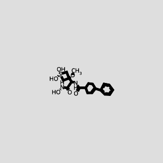 COC1(C(NC(=O)C2CC=C(c3ccccc3)CC2)C(=O)NO)CS(O)(O)C1